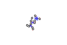 c1ccc(-c2ccc3c4cc5c6c7ccccc7ccc6n(-c6ccc7ccccc7c6)c5cc4n(-c4cccc5cc(-c6nc(-c7ccccc7)nc(-c7ccccc7)n6)ccc45)c3c2)cc1